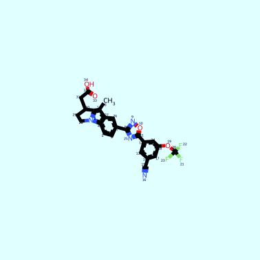 Cc1c2n(c3ccc(-c4noc(-c5cc(C#N)cc(OC(F)(F)F)c5)n4)cc13)CCC2CC(=O)O